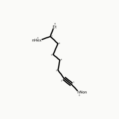 [CH2]CCCCCCCCC#CCCCCC(CC)CCCCC[CH2]